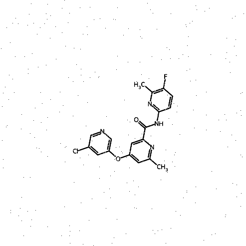 Cc1cc(Oc2cncc(Cl)c2)cc(C(=O)Nc2ccc(F)c(C)n2)n1